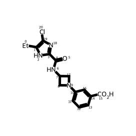 CCc1[nH]c(C(=O)NC2CN(c3cccc(C(=O)O)c3)C2)nc1Cl